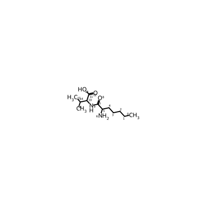 CCCCCC(N)C(=O)NC(C(=O)O)C(C)C